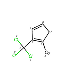 ClC(Cl)(Cl)C1=[C]([Co])CC=C1